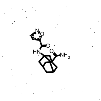 NC(=O)C12CC3CC(CC(NC(=O)c4ccno4)(C3)C1)C2